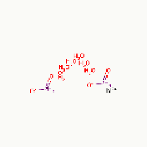 O.O.O.O.O.O.O=[PH2][O-].O=[PH2][O-].[Ni+2]